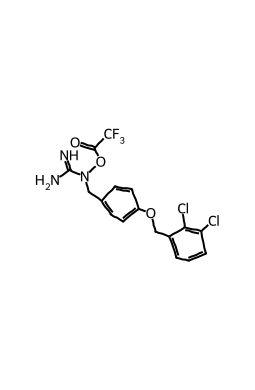 N=C(N)N(Cc1ccc(OCc2cccc(Cl)c2Cl)cc1)OC(=O)C(F)(F)F